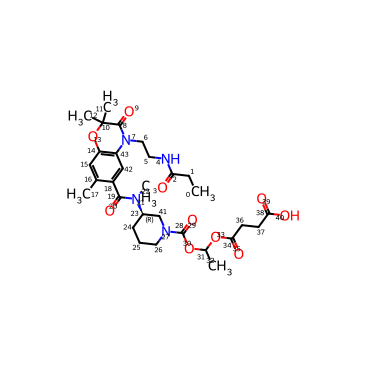 CCC(=O)NCCN1C(=O)C(C)(C)Oc2cc(C)c(C(=O)N(C)[C@@H]3CCCN(C(=O)OC(C)OC(=O)CCC(=O)O)C3)cc21